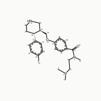 CN(C)CCN(C)C(=O)c1ccc(OC[C@@H]2CNCC[C@H]2c2ccc(F)cc2)cc1